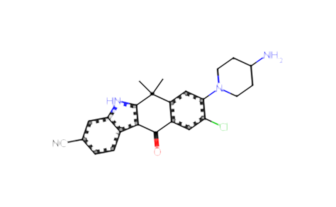 CC1(C)c2cc(N3CCC(N)CC3)c(Cl)cc2C(=O)c2c1[nH]c1cc(C#N)ccc21